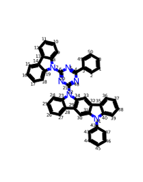 c1ccc(-c2nc(-n3c4ccccc4c4ccccc43)nc(-n3c4ccccc4c4cc5c(cc43)c3ccccc3n5-c3ccccc3)n2)cc1